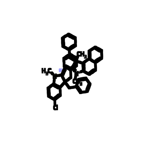 CN1/C(=C/C2=[N+](C)c3ccc4ccccc4c3C2(C)Cc2ccccc2)C(Cc2ccccc2)(Cc2ccccc2)c2cc(Cl)ccc21